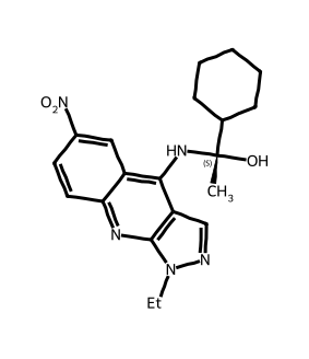 CCn1ncc2c(N[C@@](C)(O)C3CCCCC3)c3cc([N+](=O)[O-])ccc3nc21